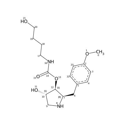 COc1ccc(C[C@H]2NC[C@H](O)[C@H]2OC(=O)NCCCCO)cc1